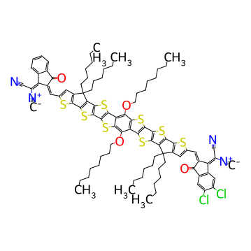 [C-]#[N+]/C(C#N)=C1\C(=C\c2cc3c(s2)-c2sc4c(sc5c4sc4c(OCCCCCCCC)c6c(sc7c8sc9c(c8sc76)C(CCCCCC)(CCCCCC)c6cc(/C=C7\C(=O)c8cc(Cl)c(Cl)cc8\C7=C(\C#N)[N+]#[C-])sc6-9)c(OCCCCCCCC)c45)c2C3(CCCCCC)CCCCCC)C(=O)c2ccccc21